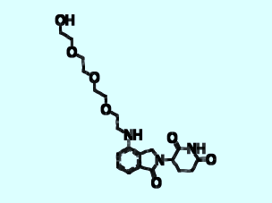 O=C1CCC(N2Cc3c(NCCOCCOCCOCCO)cccc3C2=O)C(=O)N1